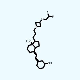 CC12CCC/C(=C\C=C3\CCCC(O)C3)C1CCC2CCCN1CC(OCC(F)F)C1